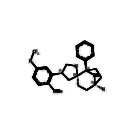 COc1ccc(OC(F)(F)F)cc1[C@H]1CO[C@]2(CC[C@@H]3CC[C@]2(c2ccccc2)N3)C1